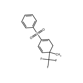 CC1(C(F)(F)F)C=CC(S(=O)(=O)c2ccccc2)=CC1